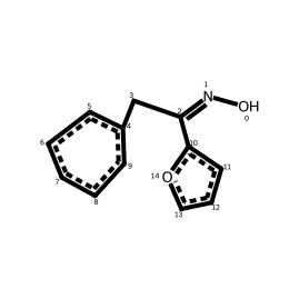 O/N=C(/Cc1ccccc1)c1ccco1